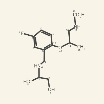 CC(CO)NCc1cc(F)ccc1OC(C)CNC(=O)O